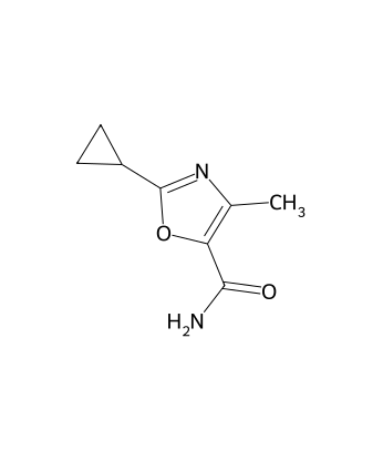 Cc1nc(C2CC2)oc1C(N)=O